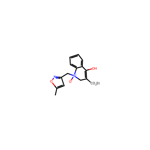 CCOC(=O)C1=C(O)c2ccccc2[N+]([O-])(Cc2cc(C)on2)C1